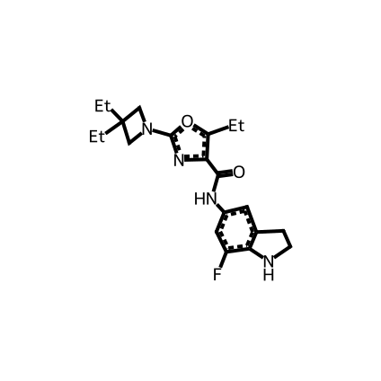 CCc1oc(N2CC(CC)(CC)C2)nc1C(=O)Nc1cc(F)c2c(c1)CCN2